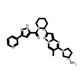 Cc1cn2nc([C@@H]3CCCCN3C(=O)c3cc(-c4cccnc4)n[nH]3)cc2nc1N1CC[C@H](N)C1